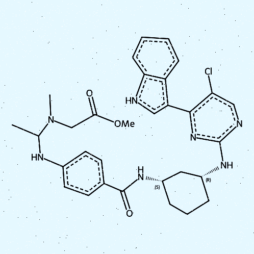 COC(=O)CN(C)C(C)Nc1ccc(C(=O)N[C@H]2CCC[C@@H](Nc3ncc(Cl)c(-c4c[nH]c5ccccc45)n3)C2)cc1